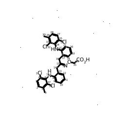 Cc1ccc(Cl)c(Nc2ccccc2CC(Cc2ccccc2Nc2c(Cl)ccc(C)c2Cl)=NOCC(=O)O)c1Cl